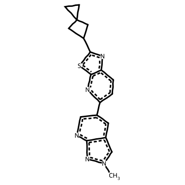 Cn1cc2cc(-c3ccc4nc(C5CC6(CC6)C5)sc4n3)cnc2n1